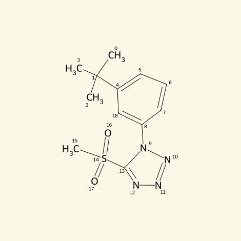 CC(C)(C)c1cccc(-n2nnnc2S(C)(=O)=O)c1